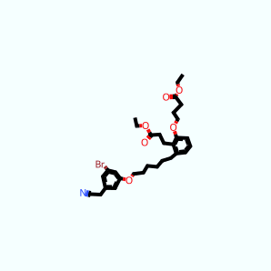 CCOC(=O)CCCOc1cccc(CCCCCCOc2cc(Br)cc(CC#N)c2)c1CCC(=O)OCC